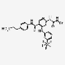 CCNC(=O)Nc1cc(Nc2cccc(S(F)(F)(F)(F)F)c2)c(C(=O)Nc2ccc(CCC(=O)O)cc2)cn1